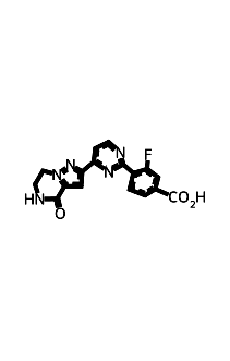 O=C(O)c1ccc(-c2nccc(-c3cc4n(n3)CCNC4=O)n2)c(F)c1